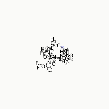 C[C@@H]1CC/C=C\[C@@H]2C[C@@]2(C(=O)NS(=O)(=O)C2(C)CC2)NC(=O)[C@@H]2C[C@@H](Oc3ncc(OCC(F)F)c4ccccc34)CN2C(=O)[C@@H](N(C(=O)O)[C@H](C)C(F)(F)F)[C@H](C)C1